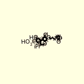 CC(C)[C@@H]1COc2cc(OCCCN3CCOC3=O)c(Cl)cc2C2=CC(O)C(C(=O)O)=CN21